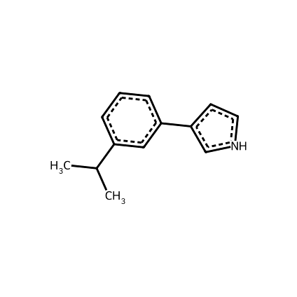 CC(C)c1cccc(-c2cc[nH]c2)c1